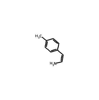 Cc1ccc(/C=C\N)cc1